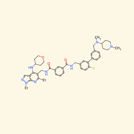 CCc1nc2c(cnn2CC)c(NC2CCOCC2)c1CNC(=O)c1cccc(C(=O)NCc2ccc(F)c(-c3cccc(CN(C)C4CCN(C)CC4)c3)c2)c1